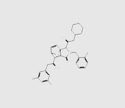 Cc1cc(C)cc(CC(=O)C2C3C=CC4(O3)C2C(=O)N(Cc2ccccc2C)C4C(=O)CC2CCCCC2)c1